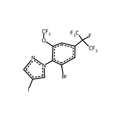 FC(F)(F)Oc1cc(C(F)(C(F)(F)F)C(F)(F)F)cc(Br)c1-n1cc(I)cn1